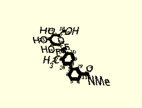 CNC(=O)c1cccc(-c2ccc(C(F)(F)[C@H]3O[C@H](CO)[C@@H](O)[C@H](O)[C@@H]3O)c(C)c2)c1